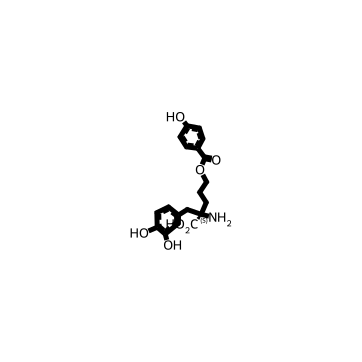 N[C@@](CCCOC(=O)c1ccc(O)cc1)(Cc1ccc(O)c(O)c1)C(=O)O